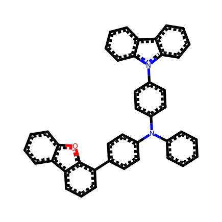 c1ccc(N(c2ccc(-c3cccc4c3oc3ccccc34)cc2)c2ccc(-n3c4ccccc4c4ccccc43)cc2)cc1